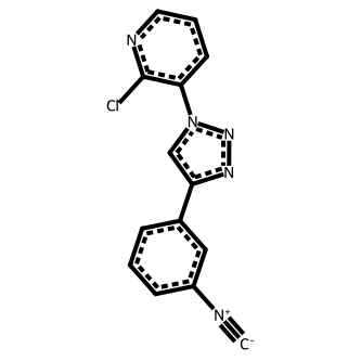 [C-]#[N+]c1cccc(-c2cn(-c3cccnc3Cl)nn2)c1